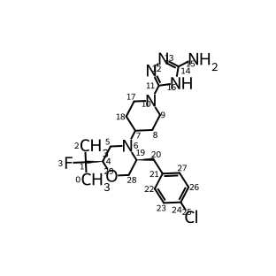 CC(C)(F)[C@H]1CN(C2CCN(c3nnc(N)[nH]3)CC2)[C@@H](Cc2ccc(Cl)cc2)CO1